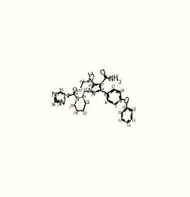 NC(=O)c1c(-c2ccc(Oc3ccccc3)cc2)nn2c1NCC[C@H]2[C@H]1CCCCN1C(=O)n1cncn1